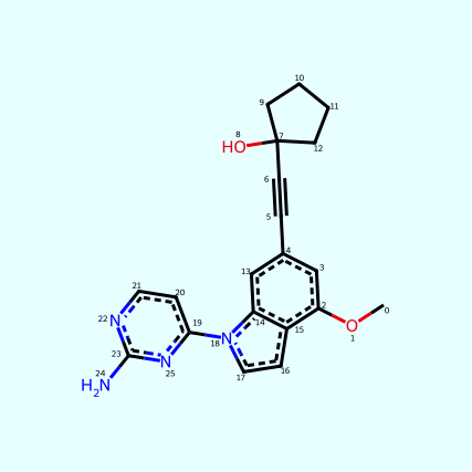 COc1cc(C#CC2(O)CCCC2)cc2c1ccn2-c1ccnc(N)n1